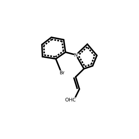 O=C/C=C/c1cccn1-c1ccccc1Br